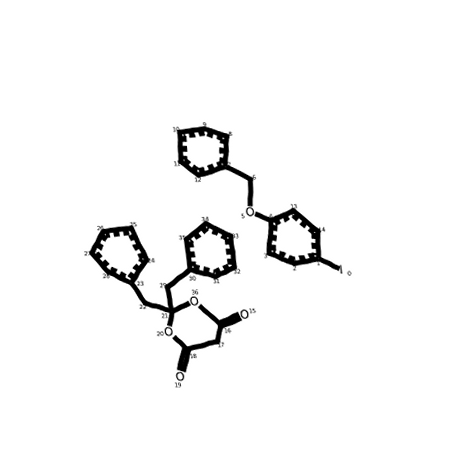 Ic1ccc(OCc2ccccc2)cc1.O=C1CC(=O)OC(Cc2ccccc2)(Cc2ccccc2)O1